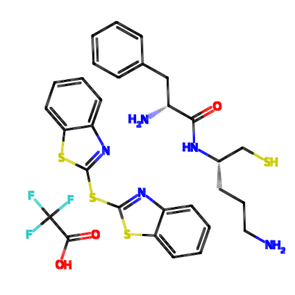 NCCC[C@@H](CS)NC(=O)[C@H](N)Cc1ccccc1.O=C(O)C(F)(F)F.c1ccc2sc(Sc3nc4ccccc4s3)nc2c1